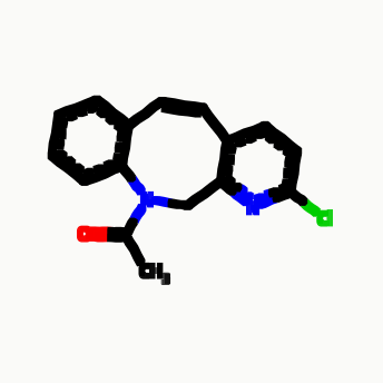 CC(=O)N1Cc2nc(Cl)ccc2C=Cc2ccccc21